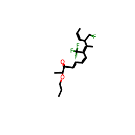 C/C=C\C(CF)/C(C)=C(/C=C\C=C\C(=O)C(C)OCCC)C(F)(F)F